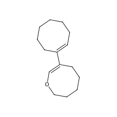 C1=C(C2=COCCCCC2)CCCCCC1